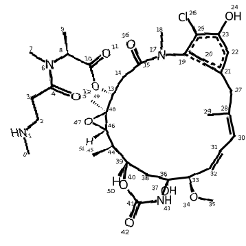 CNCCC(=O)N(C)[C@@H](C)C(=O)O[C@@H]1CC(=O)N(C)c2cc(cc(O)c2Cl)C/C(C)=C/C=C/[C@@H](OC)[C@@]2(O)C[C@H](OC(=O)N2)[C@@H](C)[C@@H]2O[C@@]12C